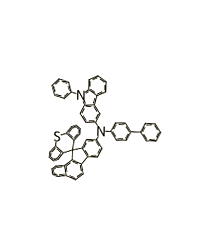 c1ccc(-c2ccc(N(c3ccc4c(c3)C3(c5ccccc5Sc5ccccc53)c3c-4ccc4ccccc34)c3ccc4c(c3)c3ccccc3n4-c3ccccc3)cc2)cc1